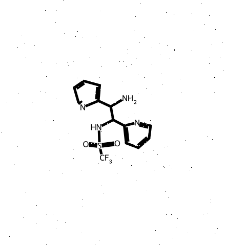 NC(c1ccccn1)C(NS(=O)(=O)C(F)(F)F)c1ccccn1